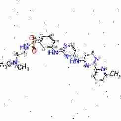 Cc1cccc(-c2nccc(Nc3ccnc(Nc4cccc(S(=O)(=O)NCCN(C)C)c4)n3)n2)n1